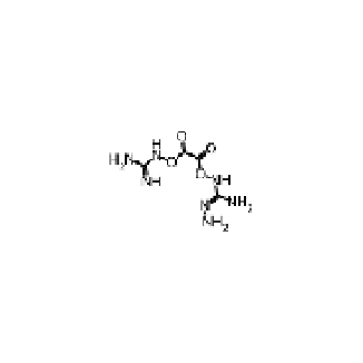 N=C(N)NOC(=O)C(=O)ONC(N)=NN